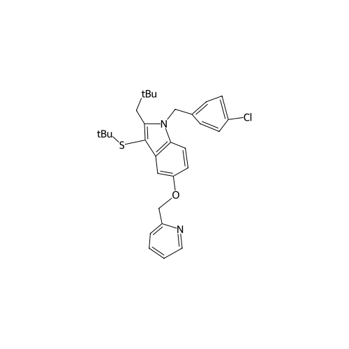 CC(C)(C)Cc1c(SC(C)(C)C)c2cc(OCc3ccccn3)ccc2n1Cc1ccc(Cl)cc1